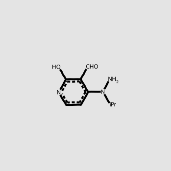 CC(C)N(N)c1ccnc(O)c1C=O